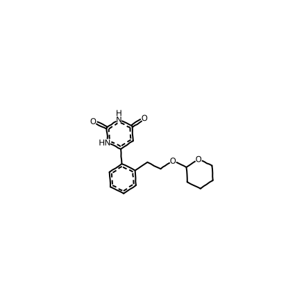 O=c1cc(-c2ccccc2CCOC2CCCCO2)[nH]c(=O)[nH]1